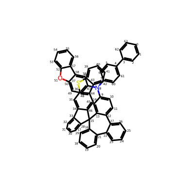 c1ccc(-c2ccc(N(c3ccc4c(c3)C3(c5ccccc5-c5ccccc5-4)c4ccccc4-c4cc5sc6ccccc6c5cc43)c3ccc4oc5ccccc5c4c3)cc2)cc1